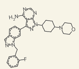 Nc1ncnc2c1c(-c1ccc3cnn(Cc4ccccc4F)c3c1)nn2C1CCC(N2CCOCC2)CC1